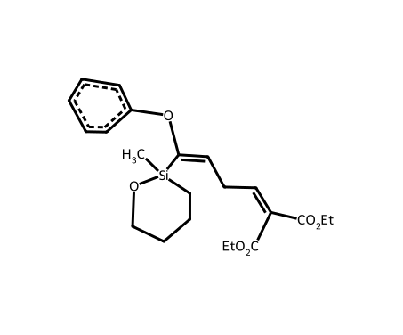 CCOC(=O)C(=CCC=C(Oc1ccccc1)[Si]1(C)CCCCO1)C(=O)OCC